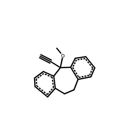 C#CC1(OC)c2ccccc2CCc2ccccc21